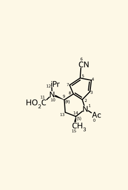 CC(=O)N1c2ccc(C#N)cc2[C@H](N(C(=O)O)C(C)C)C[C@@H]1C